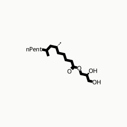 CCCCCC(C)C[C@H](C)CCCCC(=O)OC[C@@H](O)CO